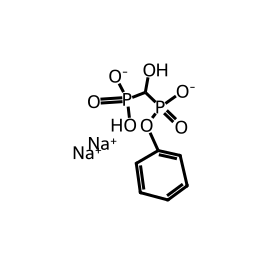 O=P([O-])(O)C(O)P(=O)([O-])Oc1ccccc1.[Na+].[Na+]